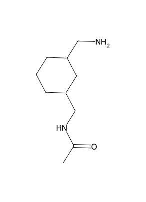 CC(=O)NCC1CCCC(CN)C1